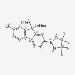 CCCCCCC1(CCCCCC)c2cc(Cl)ccc2-c2ccc(B3OC(C)(C)C(C)(C)O3)cc21